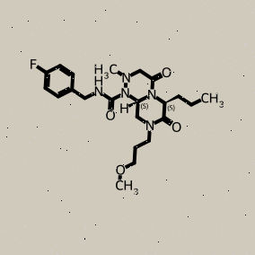 CCC[C@H]1C(=O)N(CCCOC)C[C@H]2N1C(=O)CN(C)N2C(=O)NCc1ccc(F)cc1